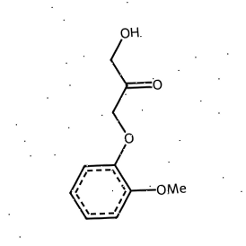 COc1ccccc1OCC(=O)CO